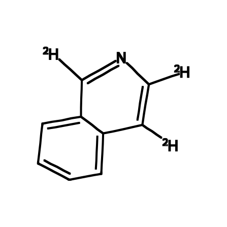 [2H]c1nc([2H])c2ccccc2c1[2H]